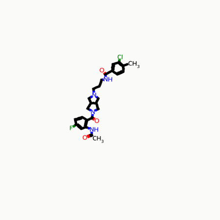 CC(=O)Nc1cc(F)ccc1C(=O)N1CC2CN(CCCNC(=O)c3ccc(C)c(Cl)c3)CC2C1